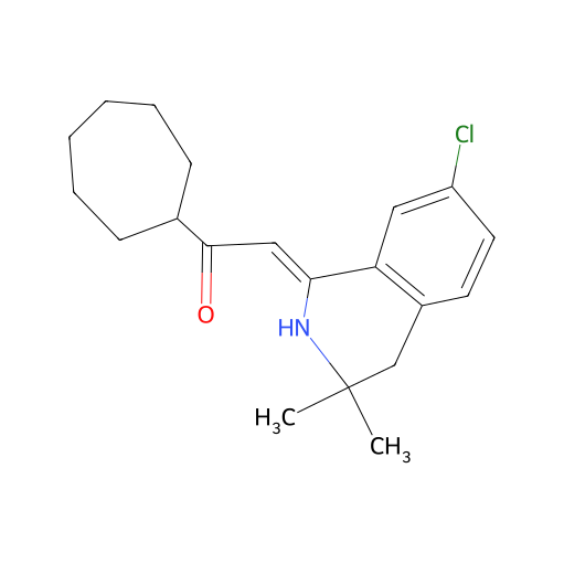 CC1(C)Cc2ccc(Cl)cc2C(=CC(=O)C2CCCCCC2)N1